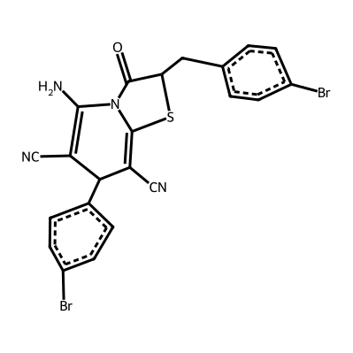 N#CC1=C(N)N2C(=O)C(Cc3ccc(Br)cc3)SC2=C(C#N)C1c1ccc(Br)cc1